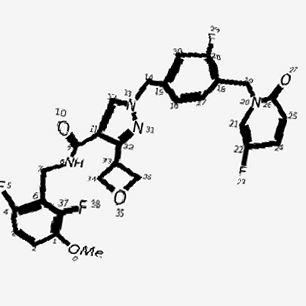 COc1ccc(F)c(CNC(=O)c2cn(Cc3ccc(Cn4cc(F)ccc4=O)c(F)c3)nc2C2COC2)c1F